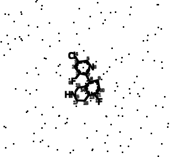 Fc1cc(Cl)cnc1-c1ccc(F)c2c1CNCC2